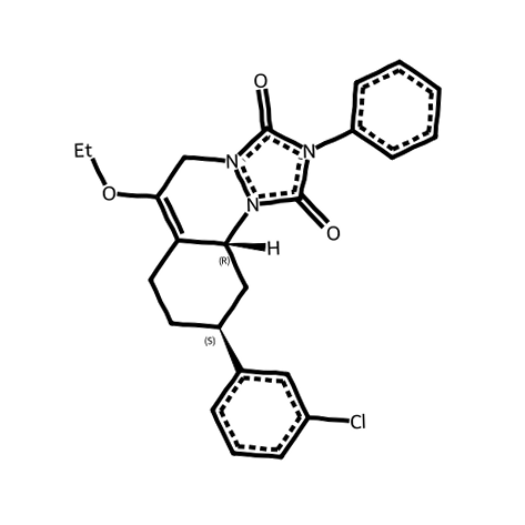 CCOC1=C2CC[C@H](c3cccc(Cl)c3)C[C@H]2n2c(=O)n(-c3ccccc3)c(=O)n2C1